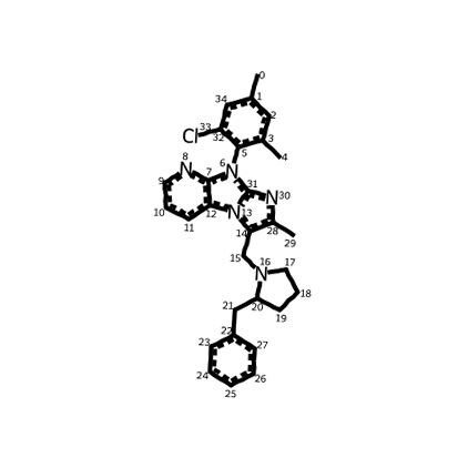 Cc1cc(C)c(-n2c3ncccc3n3c(CN4CCCC4Cc4ccccc4)c(C)nc23)c(Cl)c1